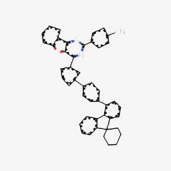 N#Cc1ccc(-c2nc(-c3cccc(-c4ccc(-c5cccc6c5-c5ccccc5C65CCCCC5)cc4)c3)c3oc4ccccc4c3n2)cc1